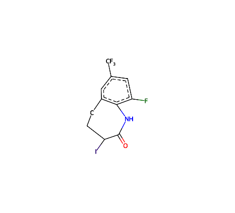 O=C1Nc2c(F)cc(C(F)(F)F)cc2CCC1I